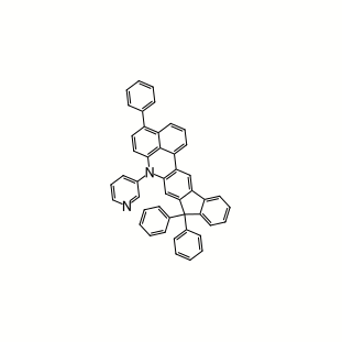 c1ccc(-c2ccc3c4c(cccc24)-c2cc4c(cc2N3c2cccnc2)C(c2ccccc2)(c2ccccc2)c2ccccc2-4)cc1